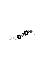 Cc1cc(N)ccc1N=Nc1ccc(C=O)cc1